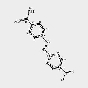 CC(C)c1ccc(N=Nc2ccc(C(=O)O)cc2)cc1